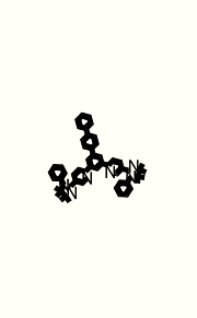 CC1(C)N=C(c2ccc(-c3cc(-c4ccc(-c5ccccc5)cc4)cc(-c4ccc(C5=NC(C)(C)C(C)(C)N5c5ccccc5)cn4)c3)nc2)N(c2ccccc2)C1(C)C